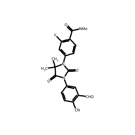 CNC(=O)c1ccc(N2C(=O)N(c3ccc(C#N)c(C=O)c3)C(=O)C2(C)C)cc1F